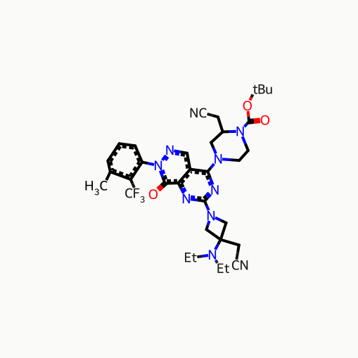 CCN(CC)C1(CC#N)CN(c2nc(N3CCN(C(=O)OC(C)(C)C)C(CC#N)C3)c3cnn(-c4cccc(C)c4C(F)(F)F)c(=O)c3n2)C1